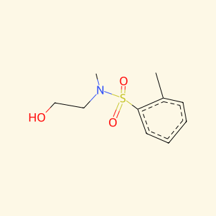 Cc1ccccc1S(=O)(=O)N(C)CCO